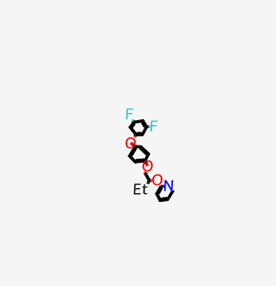 CCC(COc1ccc(Oc2cc(F)cc(F)c2)cc1)Oc1ccccn1